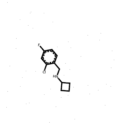 Fc1ccc(CNC2CCC2)c(Cl)c1